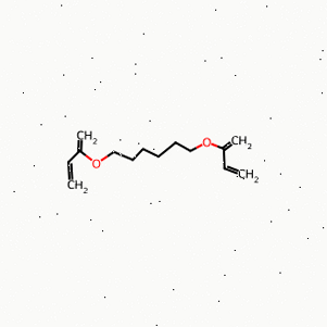 C=CC(=C)OCCCCCCOC(=C)C=C